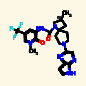 C[C@@H]1CN(C(=O)Nc2cc(C(F)(F)F)cn(C)c2=O)C2(CCN(c3cnc4[nH]ccc4n3)CC2)C1